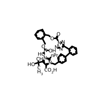 CCCc1nc(C(C)(C)O)c(C(=O)O)n1Cc1ccc(-c2ccccc2-c2nnn(C(=O)OCc3ccccc3CON(O)O)n2)cc1